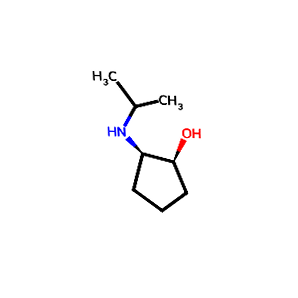 CC(C)N[C@@H]1CCC[C@@H]1O